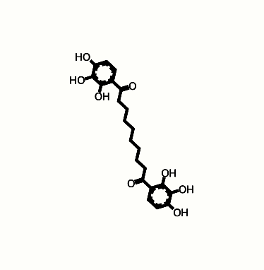 O=C(CCCCCCCCC(=O)c1ccc(O)c(O)c1O)c1ccc(O)c(O)c1O